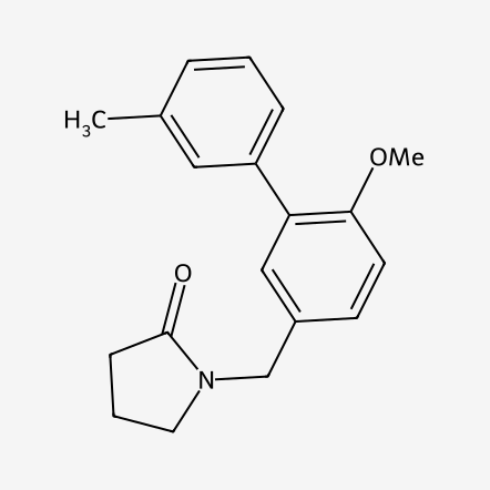 COc1ccc(CN2CCCC2=O)cc1-c1cccc(C)c1